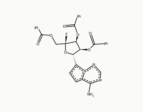 CC(C)C(=O)OC[C@@]1(F)O[C@@H](c2ccc3c(N)ncnn23)[C@H](OC(=O)C(C)C)[C@@H]1OC(=O)C(C)C